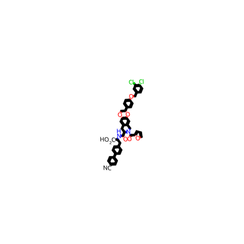 N#Cc1ccc(-c2ccc(CC(NC(=O)C3Cc4cc5c(cc4CN3C(=O)c3ccco3)OC(c3ccc(OCc4ccc(Cl)c(Cl)c4)cc3)CO5)C(=O)O)cc2)cc1